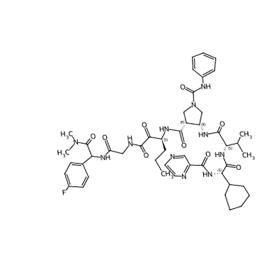 CCC[C@H](NC(=O)[C@@H]1CN(C(=O)Nc2ccccc2)C[C@@H]1NC(=O)[C@@H](NC(=O)[C@@H](NC(=O)c1cnccn1)C1CCCCC1)C(C)C)C(=O)C(=O)NCC(=O)NC(C(=O)N(C)C)c1ccc(F)cc1